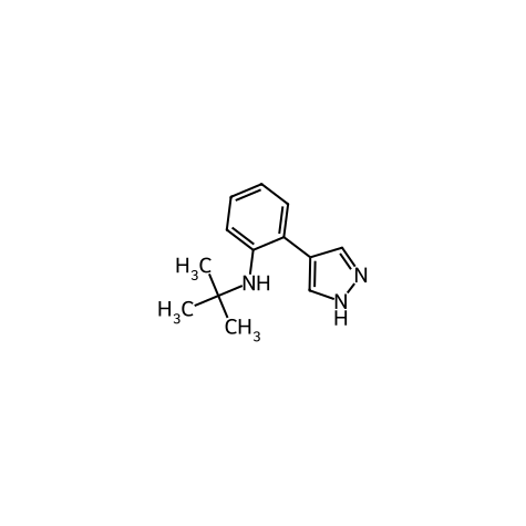 CC(C)(C)Nc1ccccc1-c1cn[nH]c1